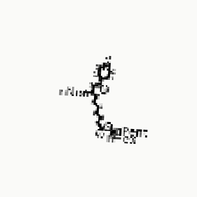 CCCCCCCCCC(CCCCCCC(=O)OC(CCCCC)CCCCCC)CC(=O)C1CCN(C)CC1